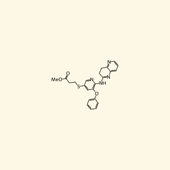 COC(=O)CCSc1cnc(NC2=Nc3cccnc3CC2)c(Oc2ccccc2)c1